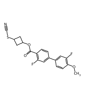 COc1ccc(-c2ccc(C(=O)OC3CC(SC#N)C3)c(F)c2)cc1F